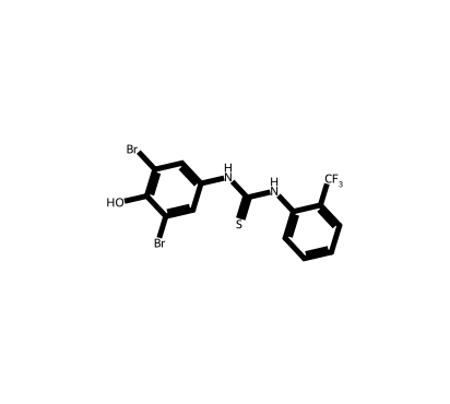 Oc1c(Br)cc(NC(=S)Nc2ccccc2C(F)(F)F)cc1Br